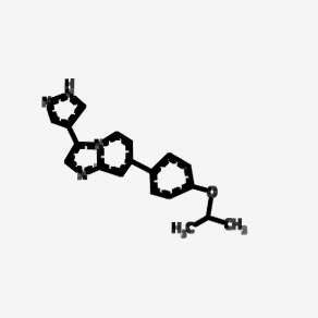 CC(C)Oc1ccc(-c2ccn3c(-c4cn[nH]c4)cnc3c2)cc1